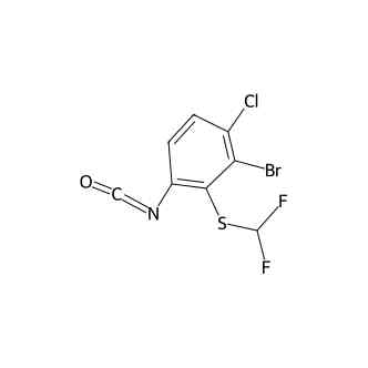 O=C=Nc1ccc(Cl)c(Br)c1SC(F)F